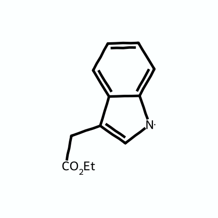 CCOC(=O)CC1=C[N]c2ccccc21